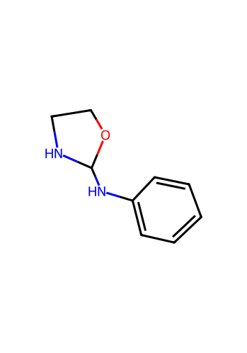 c1ccc(NC2NCCO2)cc1